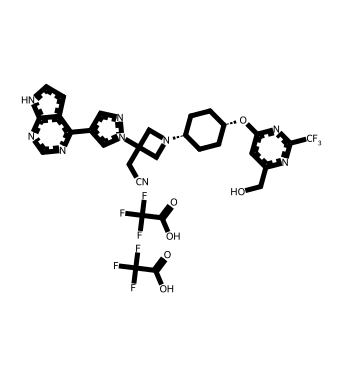 N#CCC1(n2cc(-c3ncnc4[nH]ccc34)cn2)CN([C@H]2CC[C@@H](Oc3cc(CO)nc(C(F)(F)F)n3)CC2)C1.O=C(O)C(F)(F)F.O=C(O)C(F)(F)F